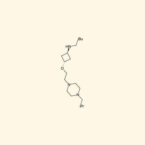 CCC(C)CN[C@H]1C[C@H](OCCN2CCN(CC(C)C)CC2)C1